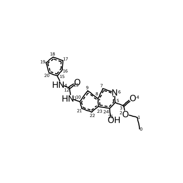 CCOC(=O)c1ncc2cc(NC(=O)Nc3ccccc3)ccc2c1O